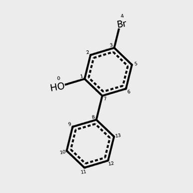 Oc1cc(Br)ccc1-c1ccccc1